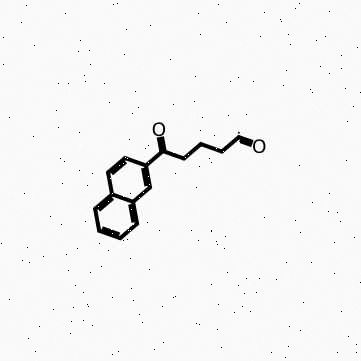 O=[C]CCCC(=O)c1ccc2ccccc2c1